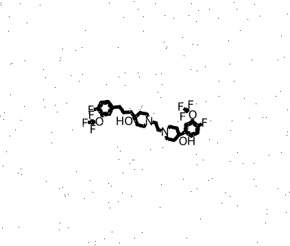 OC1(CCCc2ccc(F)c(OC(F)(F)F)c2)CCN(CCN2CCC(O)(c3ccc(F)c(OC(F)(F)F)c3)CC2)CC1